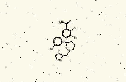 CCc1c(C(N)=O)ccc(C2(c3cccc(O)c3)CCCN(Cc3ncc[nH]3)C2)c1CC